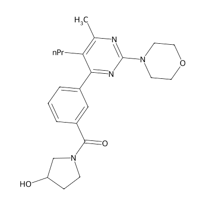 CCCc1c(C)nc(N2CCOCC2)nc1-c1cccc(C(=O)N2CCC(O)C2)c1